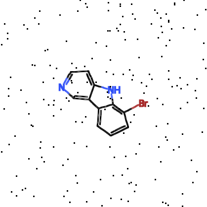 Brc1cccc2c1[nH]c1ccncc12